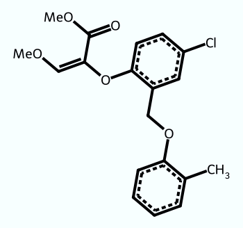 COC=C(Oc1ccc(Cl)cc1COc1ccccc1C)C(=O)OC